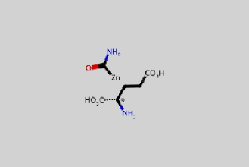 N[C@@H](CCC(=O)O)C(=O)O.N[C](=O)[Zn]